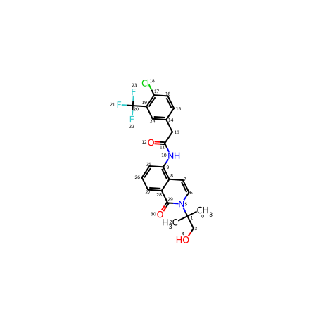 CC(C)(CO)n1ccc2c(NC(=O)Cc3ccc(Cl)c(C(F)(F)F)c3)cccc2c1=O